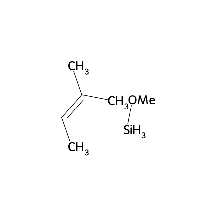 CC=C(C)C.CO[SiH3]